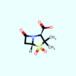 CC1(C)[C@H](C([O])=O)N2C(=O)C[C@H]2S1(=O)=O